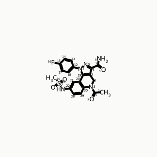 CC(=O)N1Cc2c(C(N)=O)nn(-c3ccc(F)cc3)c2-c2cc(NS(C)(=O)=O)ccc21